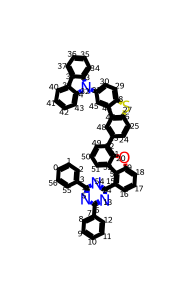 c1ccc(-c2nc(-c3ccccc3)nc(-c3cccc4oc5c(-c6ccc7sc8ccc(-n9c%10ccccc%10c%10ccccc%109)cc8c7c6)cccc5c34)n2)cc1